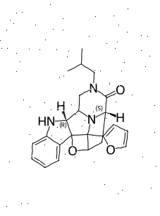 CC(C)CN1CC2[C@H]3Nc4ccccc4C34OC3C[C@@H](C1=O)N2C34c1ccco1